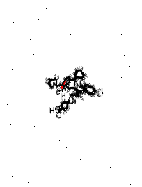 CC1CCN(CCS(=O)(=O)NCCc2c(CCOc3ccc(C(=O)O)cc3)c3cc(Cl)ccc3n2C(c2ccccc2)c2ccccc2)CC1